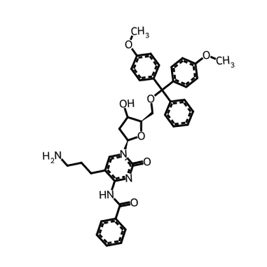 COc1ccc(C(OC[C@H]2O[C@@H](n3cc(CCCN)c(NC(=O)c4ccccc4)nc3=O)CC2O)(c2ccccc2)c2ccc(OC)cc2)cc1